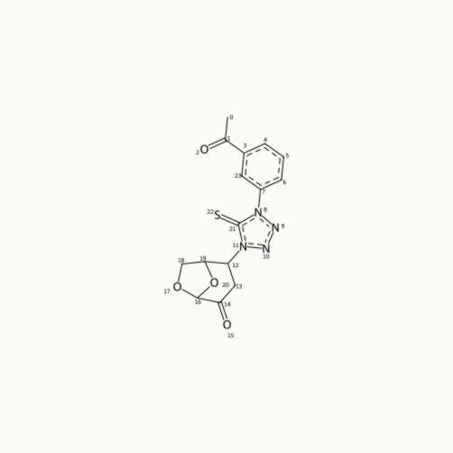 CC(=O)c1cccc(-n2nnn(C3CC(=O)C4OCC3O4)c2=S)c1